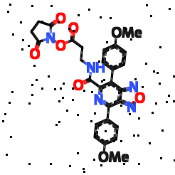 COc1ccc(-c2nc(C(=O)NCCC(=O)ON3C(=O)CCC3=O)c(-c3ccc(OC)cc3)c3nonc23)cc1